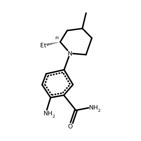 CC[C@@H]1CC(C)CCN1c1ccc(N)c(C(N)=O)c1